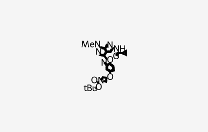 CNc1ncc(-c2nc3cc(OC4CN(C(=O)OC(C)(C)C)C4)ccc3o2)c2cc(NC(=O)C3CC3)ncc12